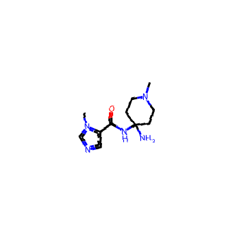 CN1CCC(N)(NC(=O)c2cncn2C)CC1